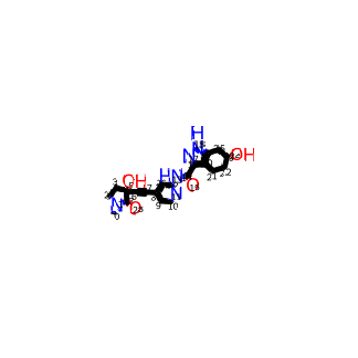 CN1CC[C@@](O)(C#Cc2ccnc(NC(=O)c3n[nH]c4c3CC[C@H](O)C4)c2)C1=O